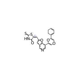 O=C1NC(=S)S/C1=C/c1cc2cncc(C3=COC=C(C4=CC=CCC4)O3)c2o1